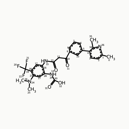 Cc1ccc(-c2cccc(C(=O)CC(=O)Nc3cc(C(F)(F)F)c(N(C)C)cc3NC(=O)O)c2)c(C)n1